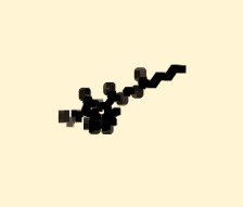 CCCCCC(=O)OCOC(=O)[C@@H]1N2C(=O)[C@@H](N)[C@H]2S(=O)(=O)C1(C)C